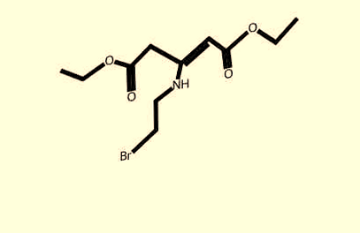 CCOC(=O)C=C(CC(=O)OCC)NCCBr